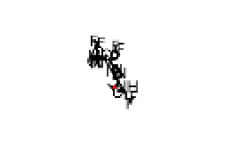 O=C(CCC(F)F)N[C@@H](c1cnn2cc([C@@H](NC(=O)c3nonc3OCC(F)F)C3CCC(F)(F)CC3)nc2c1)C1CC1